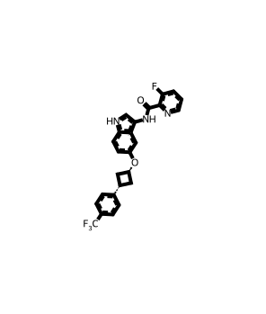 O=C(Nc1c[nH]c2ccc(O[C@H]3C[C@@H](c4ccc(C(F)(F)F)cc4)C3)cc12)c1ncccc1F